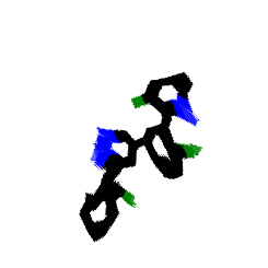 Fc1ccccc1-c1cc(-c2ccc(F)c(-c3ncccc3F)c2)cnn1